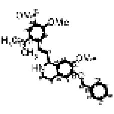 COc1cc(C=CC2NCCc3cc(OCc4ccccc4)c(OC)cc32)c(N(C)C)cc1OC